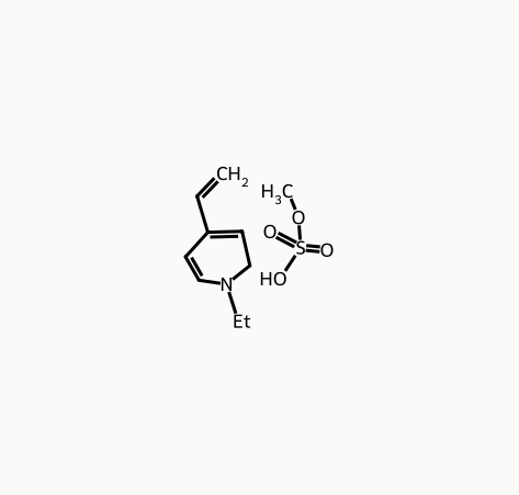 C=CC1=CCN(CC)C=C1.COS(=O)(=O)O